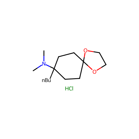 CCCCC1(N(C)C)CCC2(CC1)OCCO2.Cl